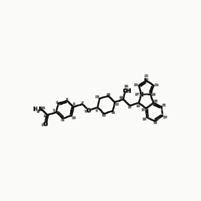 NC(=O)c1ccc(COC2CCC(C(O)CC3c4ccccc4-c4cncn43)CC2)cc1